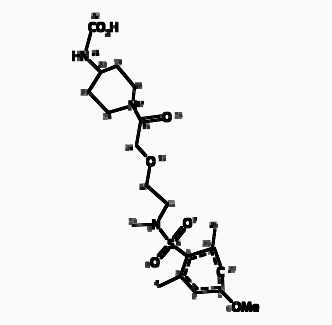 COc1cc(C)c(S(=O)(=O)N(C)CCOCC(=O)N2CCC(NC(=O)O)CC2)c(C)c1